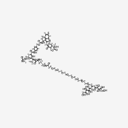 CC[C@@]1(O)C(=O)OCc2c1cc1n(c2=O)Cc2c-1nc1cc(F)c(C)c3c1c2[C@@H](NC(=O)OCc1ccc(NC(=O)[C@H](CCCNC(N)=O)NC(=O)[C@@H](NC(=O)[C@@H](N)CCCCNC(=O)CCOCCOCCOCCOCCOCCOCCOCCOCCN(C[C@H](O)[C@@H](O)[C@H](O)[C@H](O)CO)C[C@H](O)[C@@H](O)[C@H](O)[C@H](O)CO)C(C)C)cc1)CC3